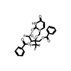 C[C@H](F)[C@H](OC(=O)c1ccccc1)C(COC(=O)c1ccccc1)(OCn1ccc(=O)[nH]c1=O)C(F)(F)F